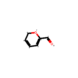 O=CC1=CC=CCO1